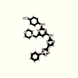 OC1CCC(Nc2nc(CN3CCOCC3)cc(Nc3ncc(-c4nnn(-c5ccccc5)n4)s3)n2)CC1